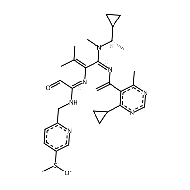 C=C(/N=C(\C(/N=C(\C=O)NCc1ccc([S+](C)[O-])cn1)=C(C)C)N(C)[C@@H](C)C1CC1)c1c(C)ncnc1C1CC1